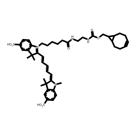 CN1/C(=C/C=C/C=C/C2=[N+](CCCCCC(=O)NCCNC(=O)OCC3C4CCC#CCCC43)c3ccc(S(=O)(=O)O)cc3C2(C)C)C(C)(C)c2cc(S(=O)(=O)O)ccc21